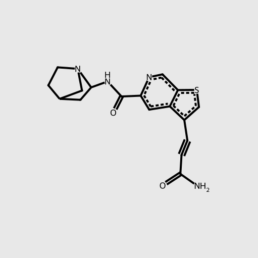 NC(=O)C#Cc1csc2cnc(C(=O)NC3CC4CCN3C4)cc12